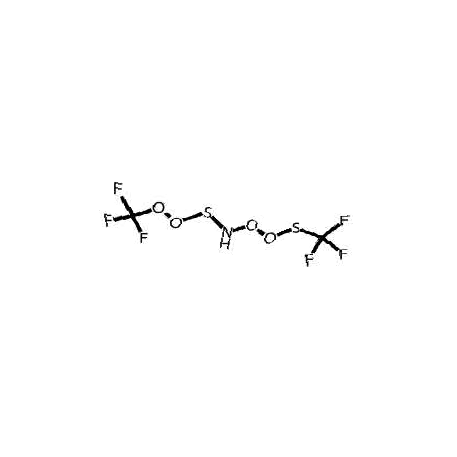 FC(F)(F)OOSNOOSC(F)(F)F